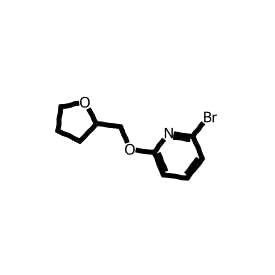 Brc1cccc(OCC2CCCO2)n1